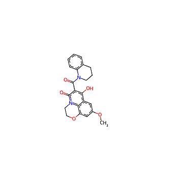 COc1cc2c3c(c1)c(O)c(C(=O)N1CCCc4ccccc41)c(=O)n3CCO2